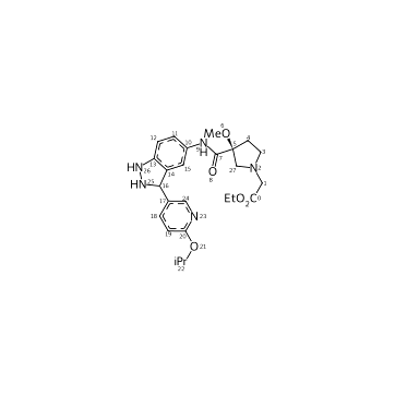 CCOC(=O)CN1CC[C@@](OC)(C(=O)Nc2ccc3c(c2)C(c2ccc(OC(C)C)nc2)NN3)C1